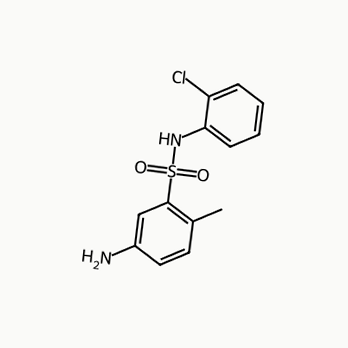 Cc1ccc(N)cc1S(=O)(=O)Nc1ccccc1Cl